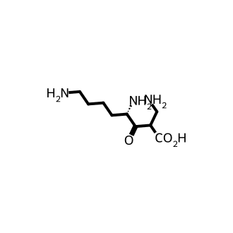 NCCCC[C@H](N)C(=O)C(CN)C(=O)O